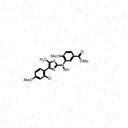 CCCN(c1nc(-c2ccc(OC)cc2Cl)c(C)s1)c1cc(C(=O)OC)ccc1OC